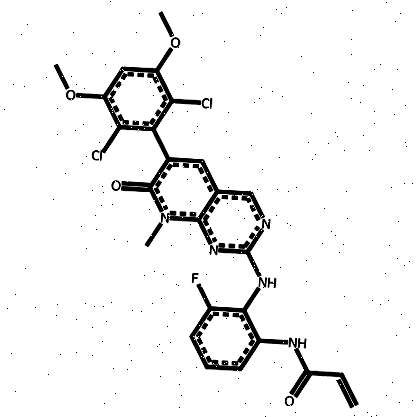 C=CC(=O)Nc1cccc(F)c1Nc1ncc2cc(-c3c(Cl)c(OC)cc(OC)c3Cl)c(=O)n(C)c2n1